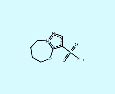 NS(=O)(=O)c1cnn2c1OCCCC2